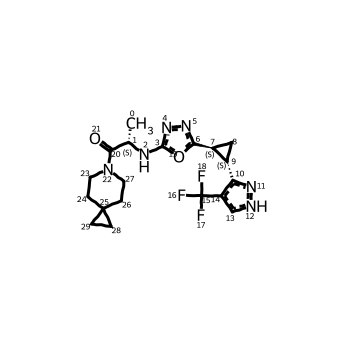 C[C@H](Nc1nnc([C@H]2C[C@@H]2c2n[nH]cc2C(F)(F)F)o1)C(=O)N1CCC2(CC1)CC2